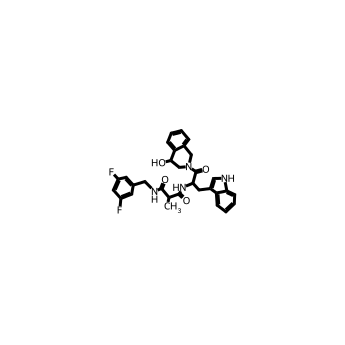 CC(C(=O)NCc1cc(F)cc(F)c1)C(=O)NC(Cc1c[nH]c2ccccc12)C(=O)N1Cc2ccccc2C(O)C1